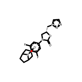 O=C1O[C@@H](Cn2ccnn2)CN1c1cc(F)c(N2C3CCC2C[S+]([O-])C3)c(F)c1